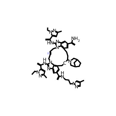 C=C(N)c1cc2c3c(c1)nc(NC(=C)c1cc(C)nn1CC)n3C/C=C/Cn1c(NC(=C)c3cc(C)nn3CC)nc3cc(C(=C)NCCCn4cc(C)cn4)cc(c31)CCC(N1CC3CCC(C3)C1)CC2